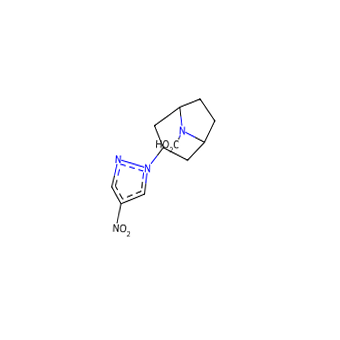 O=C(O)N1C2CCC1CC(n1cc([N+](=O)[O-])cn1)C2